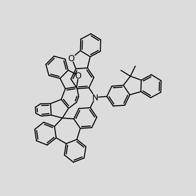 CC1(C)c2ccccc2-c2ccc(N(c3ccc4c(c3)C3(c5ccccc5-c5ccccc5-4)c4ccccc4-c4c3ccc3oc5ccccc5c43)c3ccc4oc5ccccc5c4c3)cc21